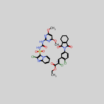 CCOC(=O)/C(Cl)=C/c1cc(N2C(=O)C3=C(CCCC3)C2=O)ccc1Cl.COc1cc(OC)nc(NC(=O)NS(=O)(=O)c2c(Cl)nc3ccccn23)n1